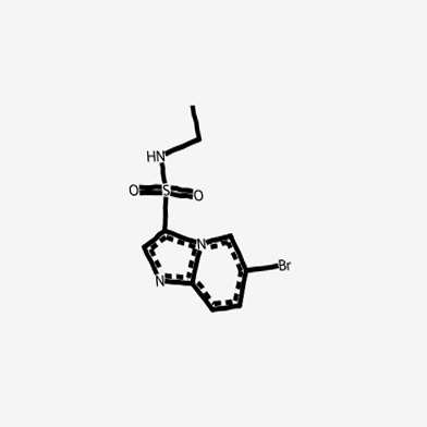 CCNS(=O)(=O)c1cnc2ccc(Br)cn12